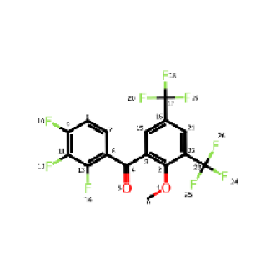 COc1c(C(=O)c2ccc(F)c(F)c2F)cc(C(F)(F)F)cc1C(F)(F)F